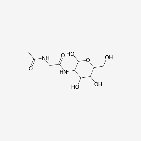 CC(=O)NCC(=O)NC1C(O)OC(CO)C(O)C1O